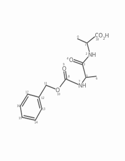 CC(NC(=O)C(C)NC(=O)OCc1ccccc1)C(=O)O